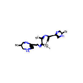 CC(/N=C(C#N)\C(C#N)=N/CC1=CNCC(C#N)C=N1)C1=CNC(C#N)C=N1